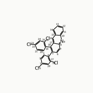 Clc1ccc(-c2ccc3nc4ccccc4cc3c2-c2ccc(Cl)cc2Cl)c(Cl)c1